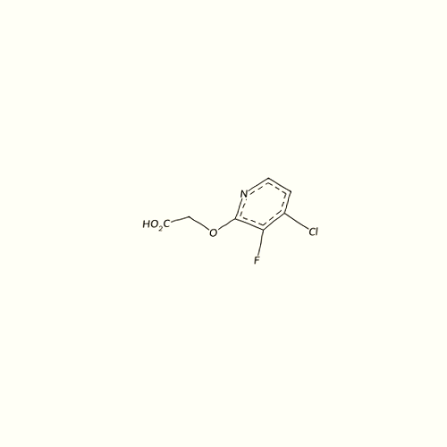 O=C(O)COc1nccc(Cl)c1F